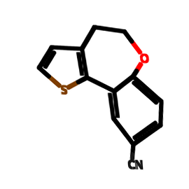 N#Cc1ccc2c(c1)-c1sccc1CCO2